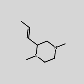 CC=CC1CN(C)CCN1C